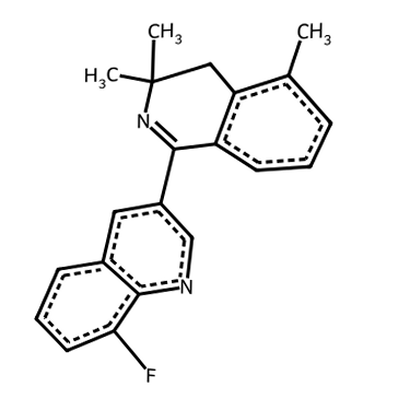 Cc1cccc2c1CC(C)(C)N=C2c1cnc2c(F)cccc2c1